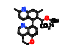 Cc1ccc2c(-c3ccc4c5c(ccnc35)CCO4)c(C(OC(C)(C)C)C(=O)O)c(C)cc2n1